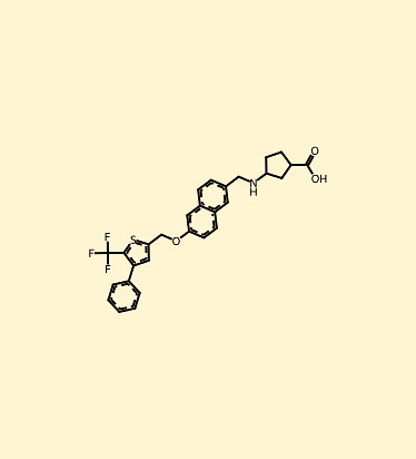 O=C(O)C1CCC(NCc2ccc3cc(OCc4cc(-c5ccccc5)c(C(F)(F)F)s4)ccc3c2)C1